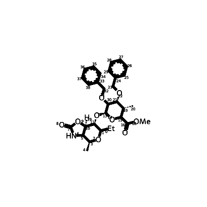 CCC1O[C@@H](C)C2NC(=O)O[C@H]2[C@@H]1O[C@@H]1OC(C(=O)OC)[C@@H](C)[C@@H](OCc2ccccc2)C1OCc1ccccc1